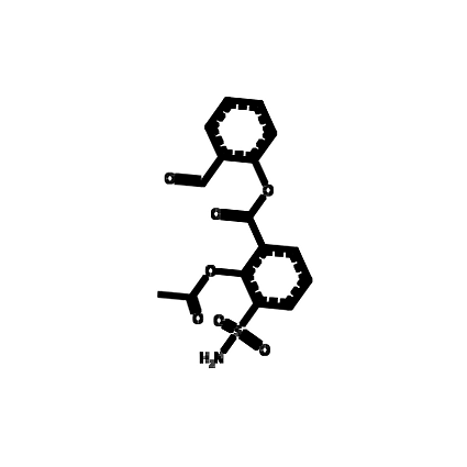 CC(=O)Oc1c(C(=O)Oc2ccccc2C=O)cccc1S(N)(=O)=O